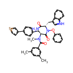 Cc1cc(C)cc(C(=O)N(C)[C@@H](Cc2ccc(-c3ccsc3)cc2)C(=O)N(Oc2ccccc2)[C@@H](Cc2c[nH]c3ccccc23)C(N)=O)c1